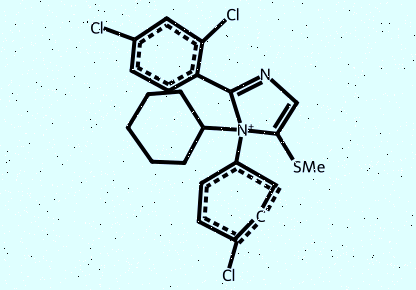 CSC1=CN=C(c2ccc(Cl)cc2Cl)[N+]1(c1ccc(Cl)cc1)C1CCCCC1